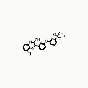 Cc1nc2cccc(Cl)c2nc1-c1cccc(Oc2cccc(S(C)(=O)=O)c2)c1